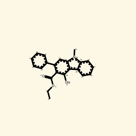 CCOC(=O)c1c(-c2ccccc2)cc2c(c1O)c1ccccc1n2C